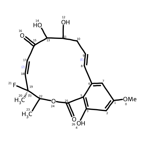 COc1cc(O)c2c(c1)/C=C/CC(O)C(O)C(=O)/C=C\[C@](C)(F)C(C)OC2=O